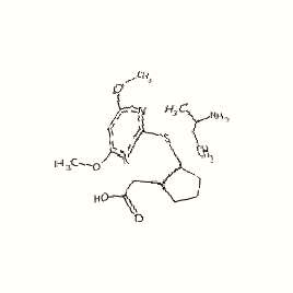 CC(C)N.COc1cc(OC)nc(SC2CCCC2CC(=O)O)n1